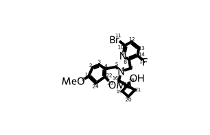 COc1ccc(CN(Cc2nc(Br)ccc2F)CC2(O)CCC2)c(OC)c1